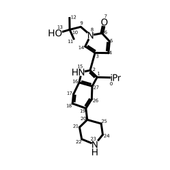 CC(C)c1c(-c2ccc(=O)n(CC(C)(C)O)c2)[nH]c2ccc(C3CCNCC3)cc12